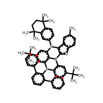 Cc1ccc2oc3c(c2c1)N(c1ccc2c(c1)C(C)(C)CCC2(C)C)c1cc(C(C)(C)C)cc2c1B3c1cc(C(C)(C)C)ccc1N2c1c(-c2ccccc2)cccc1-c1ccccc1